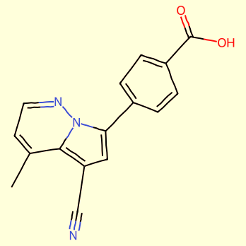 Cc1ccnn2c(-c3ccc(C(=O)O)cc3)cc(C#N)c12